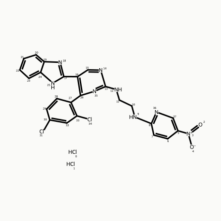 Cl.Cl.O=[N+]([O-])c1ccc(NCCNc2ncc(-c3nc4ccccc4[nH]3)c(-c3ccc(Cl)cc3Cl)n2)nc1